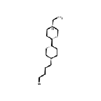 CC[Si@H]1CC[C@H]([C@H]2CC[C@H](CCCCBr)CC2)CC1